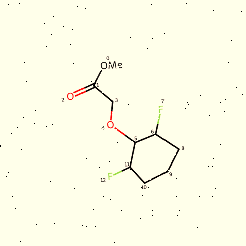 COC(=O)COC1C(F)CCCC1F